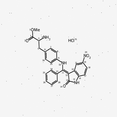 COC(=O)C(N)Cc1ccc(NC(=C2C(=O)Nc3ccc([N+](=O)[O-])cc32)c2ccccc2)cc1.Cl